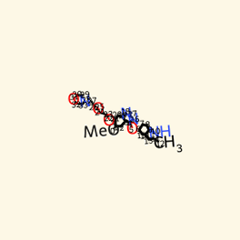 COc1cc2c(Oc3ccc4[nH]c(C)cc4c3)ncnc2cc1OCCOCCN1CCOCC1